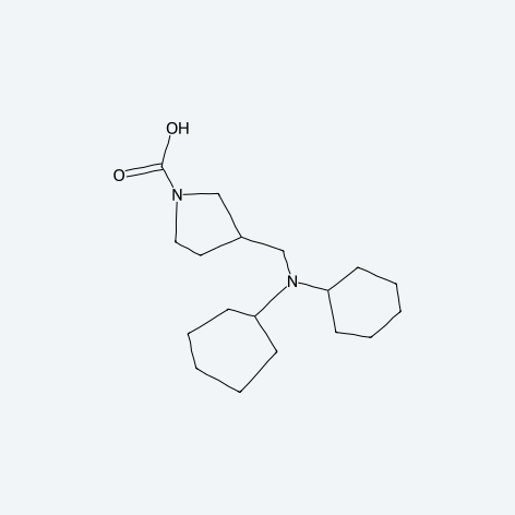 O=C(O)N1CCC(CN(C2CCCCC2)C2CCCCC2)C1